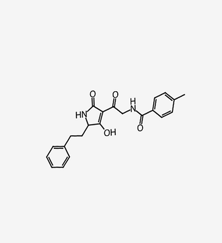 Cc1ccc(C(=O)NCC(=O)C2=C(O)C(CCc3ccccc3)NC2=O)cc1